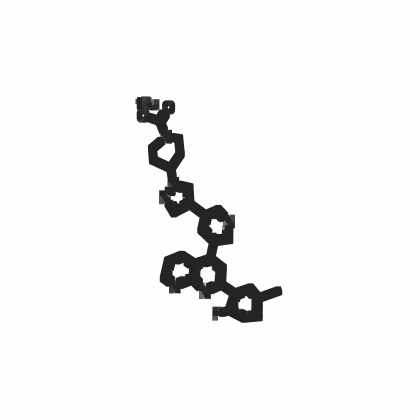 Cc1ccc(F)c(-c2cc(-c3cncc(-c4cnn(C5CCN(C(=O)OC(C)(C)C)CC5)c4)c3)c3cccnc3n2)c1